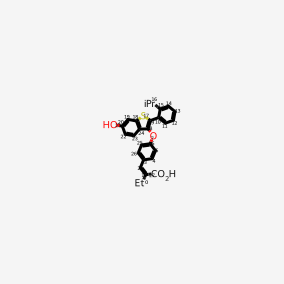 CCC(=Cc1ccc(Oc2c(-c3ccccc3C(C)C)sc3cc(O)ccc23)cc1)C(=O)O